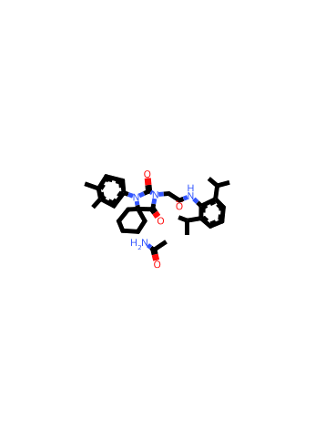 CC(N)=O.Cc1ccc(N2C(=O)N(CC(=O)Nc3c(C(C)C)cccc3C(C)C)C(=O)C23CCCCC3)cc1C